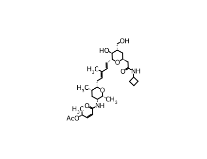 CC(=O)O[C@@H](C)/C=C\C(=O)N[C@@H]1C[C@H](C)[C@H](C/C=C(C)/C=C/[C@H]2O[C@H](CC(=O)NC3CCC3)C[C@@H](CO)[C@@H]2O)O[C@@H]1C